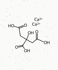 O=C(O)CC(O)(CC(=O)O)C(=O)O.[Ca+2].[Ca+2]